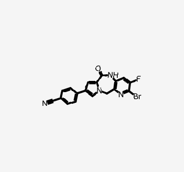 N#Cc1ccc(-c2cc3n(c2)Cc2nc(Br)c(F)cc2NC3=O)cc1